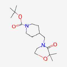 CC(C)(C)OC(=O)N1CCC(CN2CCOC(C)(C)C2=O)CC1